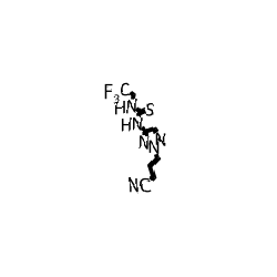 N#CCCCn1ncc(NC(=S)NCC(F)(F)F)n1